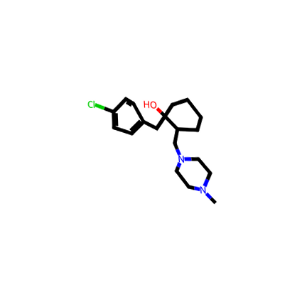 CN1CCN(CC2CCCCC2(O)Cc2ccc(Cl)cc2)CC1